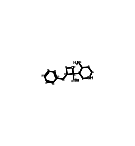 CCCCC1(C2CNCCC2N)OCC1Cc1ccccc1